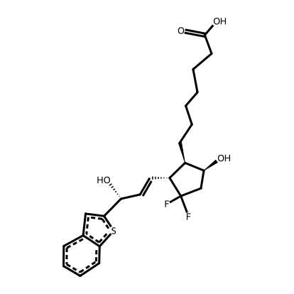 O=C(O)CCCCCC[C@@H]1[C@@H](/C=C/[C@@H](O)c2cc3ccccc3s2)C(F)(F)C[C@@H]1O